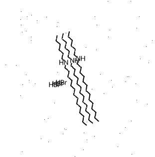 Br.Br.Br.CCCCCCCCCCCCCCNCCCCCC.CCCCCCCCCCCCCCNCCCCCC.CCCCCCCCCCCCCCNCCCCCC